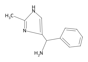 Cc1nc(C(N)c2ccccc2)c[nH]1